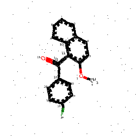 COc1ccc2ccccc2c1C(=O)c1ccc(F)cc1